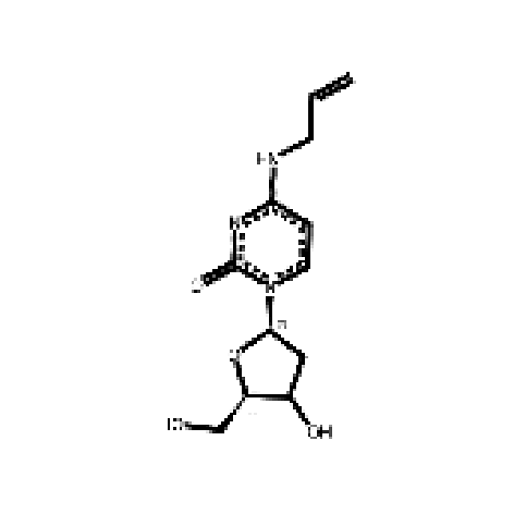 C=CCNc1ccn([C@H]2CC(O)[C@@H](CO)O2)c(=O)n1